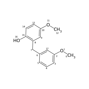 COc1cccc(Cc2cc(OC)ccc2O)c1